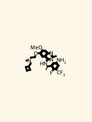 COc1cc2nc(C)nc(N[C@H](C)c3cc(N)cc(C(F)(F)F)c3F)c2cc1OCCN(C)CC1CCC1